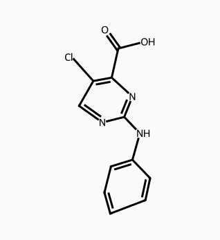 O=C(O)c1nc(Nc2ccccc2)ncc1Cl